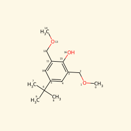 COCc1cc(C(C)(C)C)cc(COC)c1O